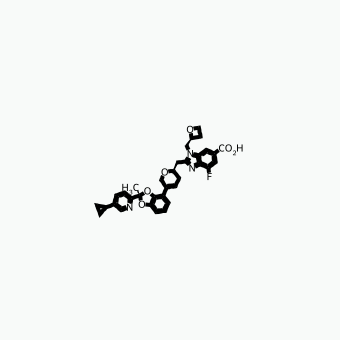 C[C@@]1(c2ccc(C3CC3)cn2)Oc2cccc(C3=CC[C@H](Cc4nc5c(F)cc(C(=O)O)cc5n4C[C@@H]4CCO4)OC3)c2O1